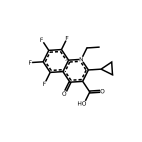 CCn1c(C2CC2)c(C(=O)O)c(=O)c2c(F)c(F)c(F)c(F)c21